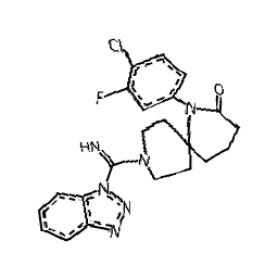 N=C(N1CCC2(CCCC(=O)N2c2ccc(Cl)c(F)c2)CC1)n1nnc2ccccc21